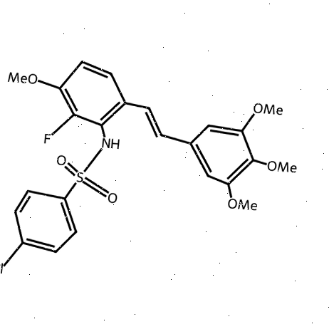 COc1ccc(C=Cc2cc(OC)c(OC)c(OC)c2)c(NS(=O)(=O)c2ccc(Cl)cc2)c1F